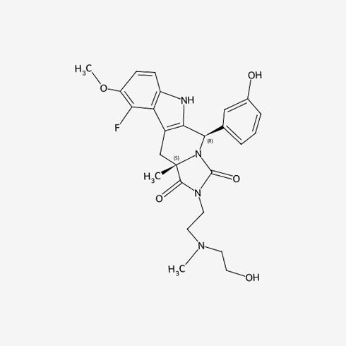 COc1ccc2[nH]c3c(c2c1F)C[C@@]1(C)C(=O)N(CCN(C)CCO)C(=O)N1[C@@H]3c1cccc(O)c1